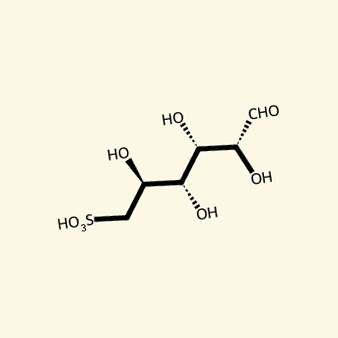 O=C[C@H](O)[C@@H](O)[C@H](O)[C@H](O)CS(=O)(=O)O